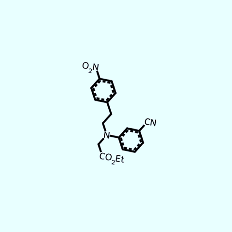 CCOC(=O)CN(CCc1ccc([N+](=O)[O-])cc1)c1cccc(C#N)c1